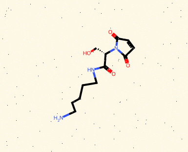 NCCCCCNC(=O)[C@H](CO)N1C(=O)C=CC1=O